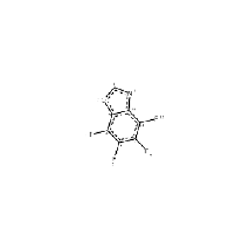 Fc1c(F)c(F)c2ocnc2c1F